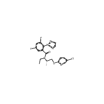 CCN(C(=O)c1cc(F)cc(F)c1-n1nccn1)[C@@H](C)COc1ccc(Cl)cn1